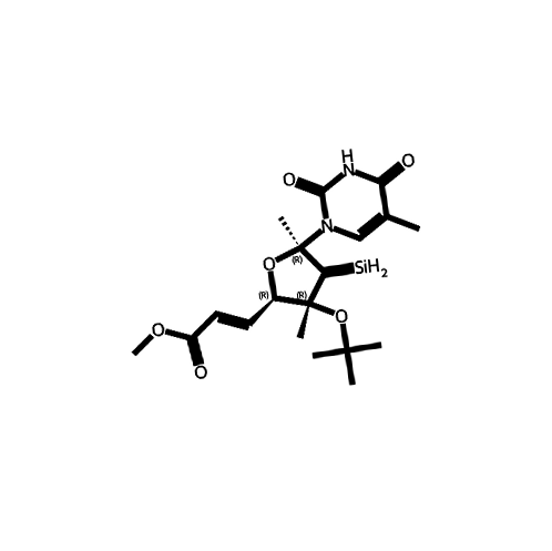 COC(=O)C=C[C@H]1O[C@@](C)(n2cc(C)c(=O)[nH]c2=O)C(=[SiH2])[C@]1(C)OC(C)(C)C